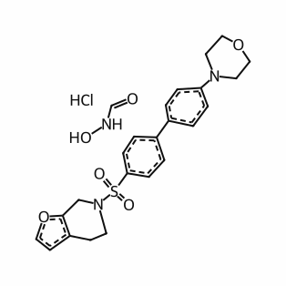 Cl.O=CNO.O=S(=O)(c1ccc(-c2ccc(N3CCOCC3)cc2)cc1)N1CCc2ccoc2C1